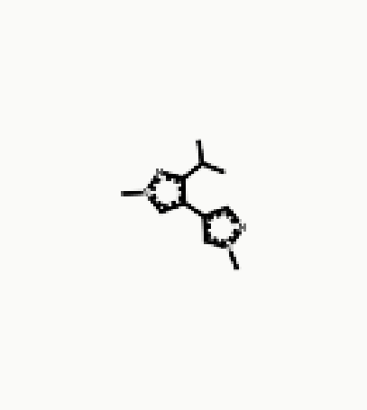 CC(C)c1nn(C)cc1-c1cnn(C)c1